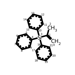 C=C(C)[Si](c1ccccc1)(c1ccccc1)c1ccccc1